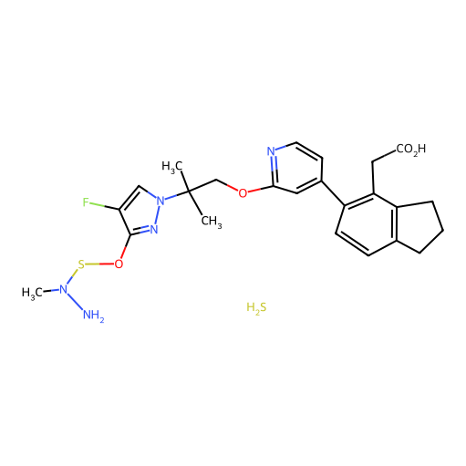 CN(N)SOc1nn(C(C)(C)COc2cc(-c3ccc4c(c3CC(=O)O)CCC4)ccn2)cc1F.S